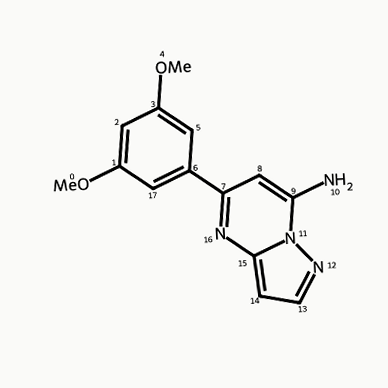 COc1cc(OC)cc(-c2cc(N)n3nccc3n2)c1